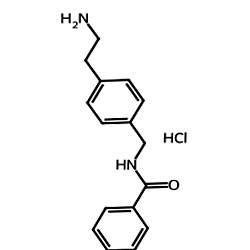 Cl.NCCc1ccc(CNC(=O)c2ccccc2)cc1